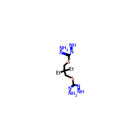 CCC(CC)(CSC(N=N)=NN)CSC(N=N)=NN